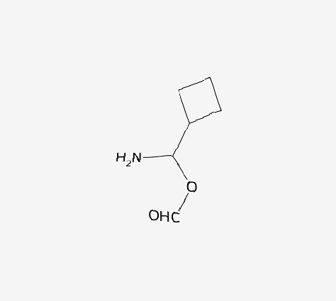 NC(OC=O)C1CCC1